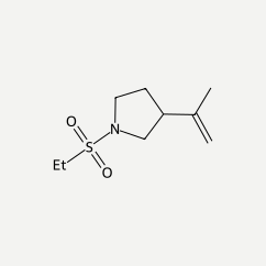 C=C(C)C1CCN(S(=O)(=O)CC)C1